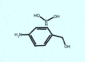 Nc1ccc(CO)cc1.OBO